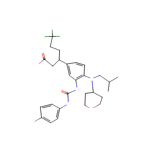 CC(C)CN(c1ccc(C(CCC(F)(F)F)CC(=O)O)cc1NC(=O)Nc1ccc(Cl)cc1)C1CCOCC1